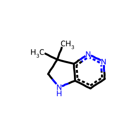 CC1(C)CNc2ccnnc21